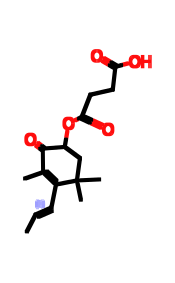 C/C=C/C1=C(C)C(=O)C(OC(=O)CCC(=O)O)CC1(C)C